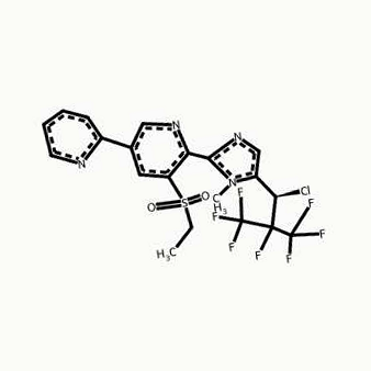 CCS(=O)(=O)c1cc(-c2ccccn2)cnc1-c1ncc([C@@H](Cl)C(F)(C(F)(F)F)C(F)(F)F)n1C